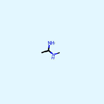 CNC(C)[NH]